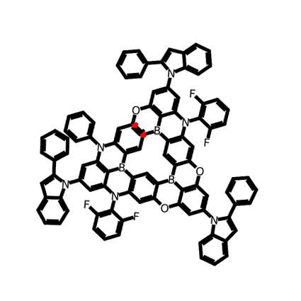 Fc1cccc(F)c1N1c2cc3c(cc2B2c4ccccc4Oc4cc(-n5c(-c6ccccc6)cc6ccccc65)cc1c42)B1c2cc4c(cc2Oc2cc(-n5c(-c6ccccc6)cc6ccccc65)cc(c21)O3)N(c1c(F)cccc1F)c1cc(-n2c(-c3ccccc3)cc3ccccc32)cc2c1B4c1ccccc1N2c1ccccc1